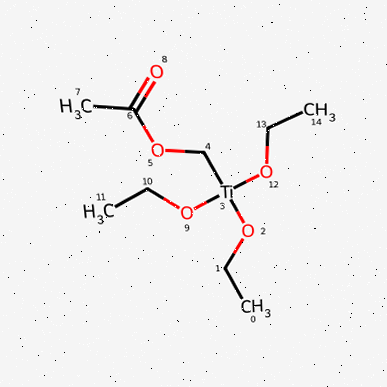 CC[O][Ti]([CH2]OC(C)=O)([O]CC)[O]CC